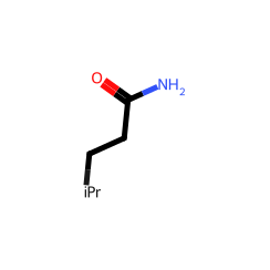 CC(C)CCC(N)=O